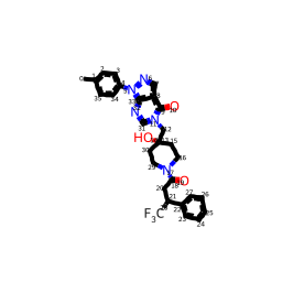 Cc1ccc(-n2ncc3c(=O)n(CC4(O)CCN(C(=O)CC(c5ccccc5)C(F)(F)F)CC4)cnc32)cc1